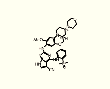 COc1cc2c(cc1Nc1nc(Nc3ccccc3P(C)(C)=O)c3c(C#N)c[nH]c3n1)OC[C@H]1C[C@@H](N3CCOCC3)CCN21